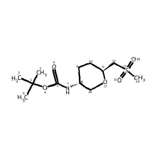 CC(C)(C)OC(=O)N[C@@H]1CC[C@@H](CS(C)(=O)=O)OC1